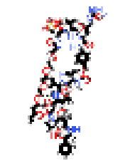 CCC(=O)CCOCCOCCOCCOCCC(=O)N[C@@H](CS(=O)(=O)O)C(=O)N[C@H](C(=O)N[C@@H](CCCNC(N)=O)C(=O)Nc1ccc(COC(=O)N(C)[C@H](C(=O)N[C@H](C(=O)N(C)[C@@H]([C@@H](C)CC)[C@@H](CC(=O)N2CCC[C@H]2[C@H](OC)[C@@H](C)C(=O)N[C@H](C)[C@@H](O)c2ccccc2)OC)C(C)C)C(C)C)cc1)C(C)C